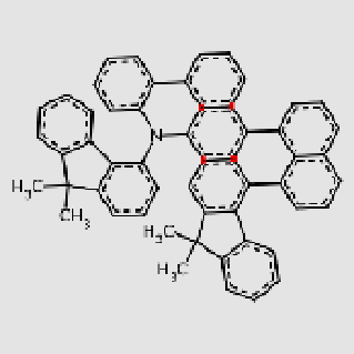 CC1(C)c2ccccc2-c2c(-c3cccc4cccc(-c5ccc(N(c6ccccc6-c6ccccc6)c6cccc7c6-c6ccccc6C7(C)C)cc5)c34)cccc21